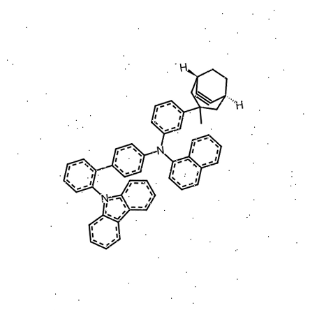 CC1(c2cccc(N(c3ccc(-c4ccccc4-n4c5ccccc5c5ccccc54)cc3)c3cccc4ccccc34)c2)C[C@H]2C#C[C@@H](CC2)C1